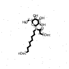 CCCCCCCCCCCCCCCCCCN(C(=O)CCCCCCCCCCC)[C@@H]1O[C@H](CO)[C@H](O)[C@H](O)[C@H]1O